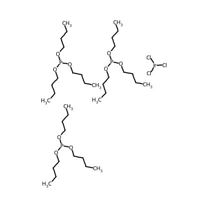 CCCCOP(OCCCC)OCCCC.CCCCOP(OCCCC)OCCCC.CCCCOP(OCCCC)OCCCC.[Cl][Ir]([Cl])[Cl]